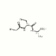 CCCC[C@H](NC(=O)[C@H](CC(C)C)NC(=O)CC(C)C)C(=O)O